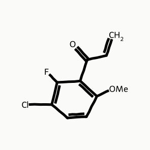 C=CC(=O)c1c(OC)ccc(Cl)c1F